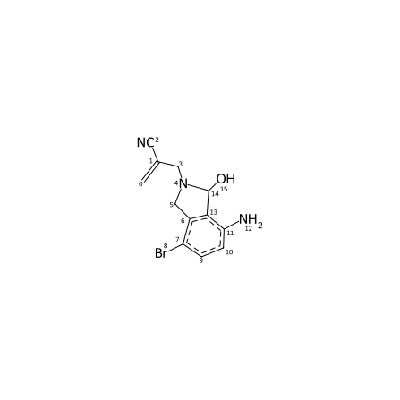 C=C(C#N)CN1Cc2c(Br)ccc(N)c2C1O